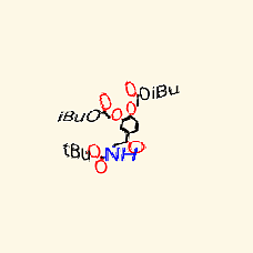 CC(C)COC(=O)COc1ccc(C(=O)CNC(=O)OC(C)(C)C)cc1OCC(=O)OCC(C)C